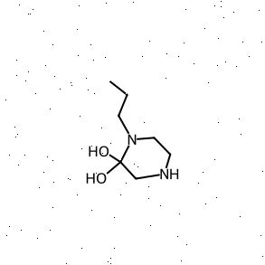 CCCN1CCNCC1(O)O